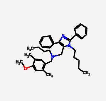 CCCCCn1c(-c2ccccc2)nc(-c2ccccc2)c1CN(CCCC)Cc1cc(C)c(OC)cc1C